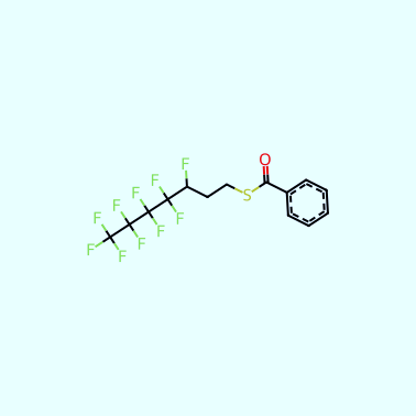 O=C(SCCC(F)C(F)(F)C(F)(F)C(F)(F)C(F)(F)F)c1ccccc1